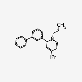 C=CCN1C=CC(C(C)C)=CC1c1cccc(-c2ccccc2)c1